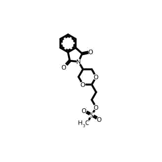 CS(=O)(=O)OCCC1OCC(N2C(=O)c3ccccc3C2=O)CO1